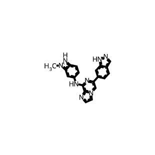 Cn1[nH]c2ccc(Nc3nc(-c4ccc5cn[nH]c5c4)cn4ccnc34)cc21